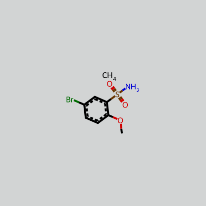 C.COc1ccc(Br)cc1S(N)(=O)=O